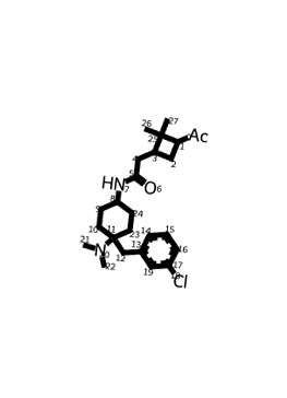 CC(=O)C1CC(CC(=O)NC2CCC(Cc3cccc(Cl)c3)(N(C)C)CC2)C1(C)C